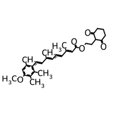 COc1cc(C)c(/C=C/C(C)=C/C=C/C(C)=C/C(=O)OCCC2C(=O)CCCC2=O)c(C)c1C